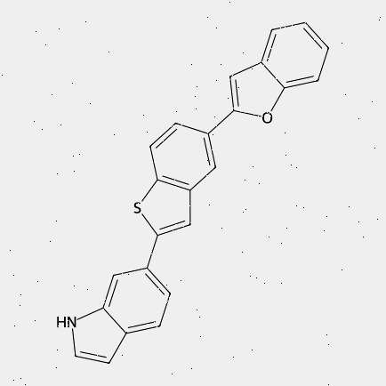 c1ccc2oc(-c3ccc4sc(-c5ccc6cc[nH]c6c5)cc4c3)cc2c1